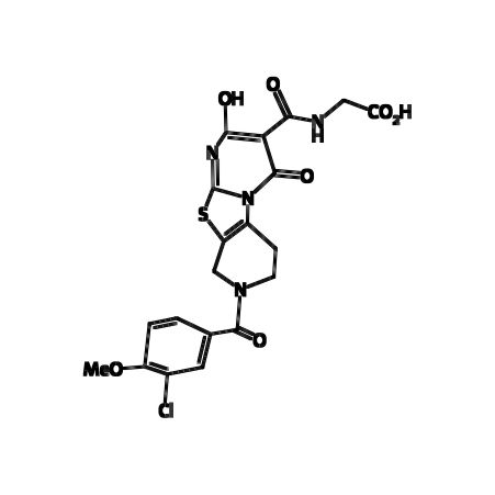 COc1ccc(C(=O)N2CCc3c(sc4nc(O)c(C(=O)NCC(=O)O)c(=O)n34)C2)cc1Cl